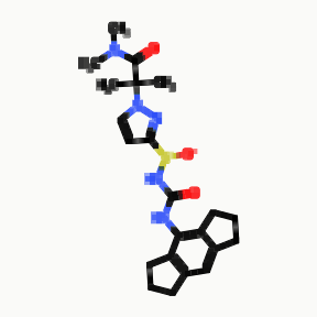 CN(C)C(=O)C(C)(C)n1ccc([S+]([O-])NC(=O)Nc2c3c(cc4c2CCC4)CCC3)n1